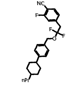 CCCC1CCC(c2ccc(COC(F)(F)Cc3ccc(C#N)c(F)c3)cc2)CC1